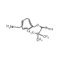 CCCCCC(Oc1ccc(N)cc1)[Si](C)(C)C